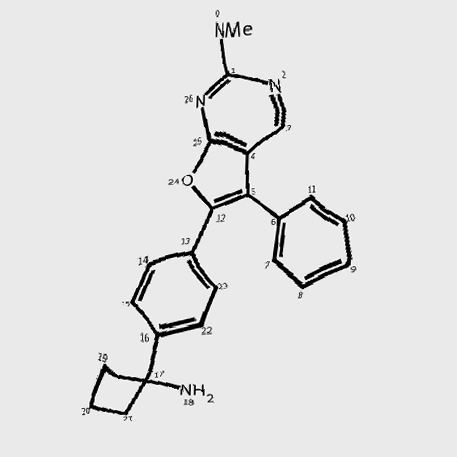 CNc1ncc2c(-c3ccccc3)c(-c3ccc(C4(N)CCC4)cc3)oc2n1